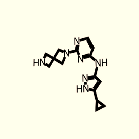 c1cc(Nc2cc(C3CC3)[nH]n2)nc(N2CC3(CNC3)C2)n1